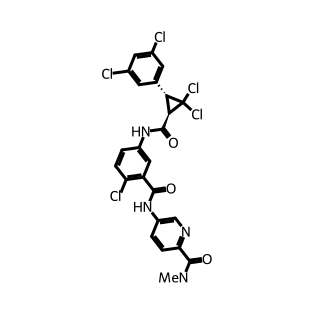 CNC(=O)c1ccc(NC(=O)c2cc(NC(=O)[C@H]3[C@H](c4cc(Cl)cc(Cl)c4)C3(Cl)Cl)ccc2Cl)cn1